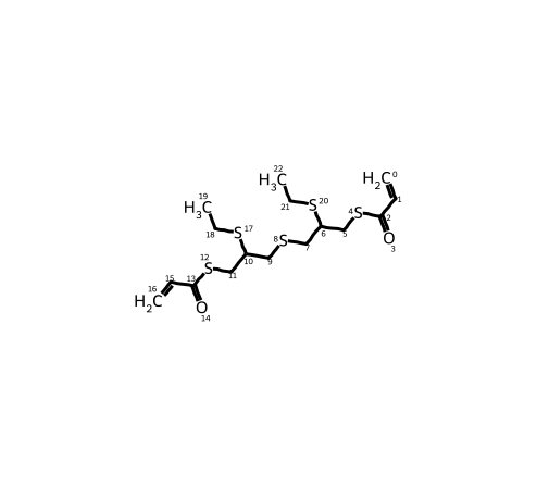 C=CC(=O)SCC(CSCC(CSC(=O)C=C)SCC)SCC